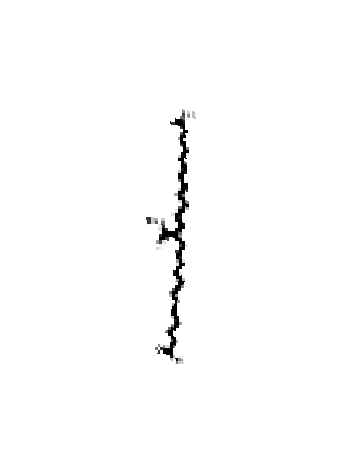 O=C(O)CCCCCCCCCCCC(CCCCCCCCCCCC(=O)O)C(=O)O